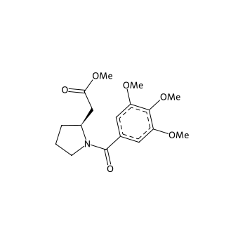 COC(=O)C[C@@H]1CCCN1C(=O)c1cc(OC)c(OC)c(OC)c1